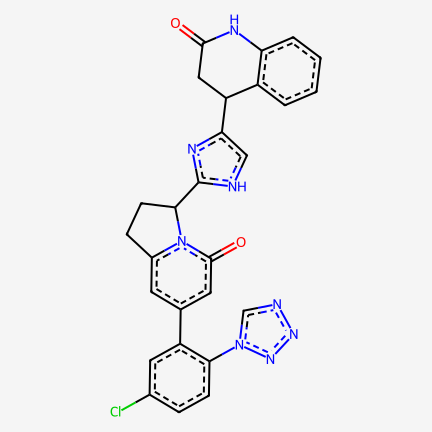 O=C1CC(c2c[nH]c(C3CCc4cc(-c5cc(Cl)ccc5-n5cnnn5)cc(=O)n43)n2)c2ccccc2N1